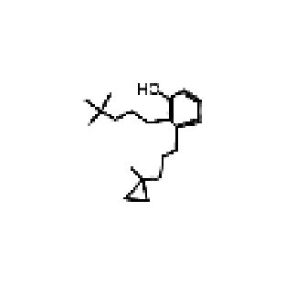 CC(C)(C)CCCc1c(O)cccc1CCCC1(C)CC1